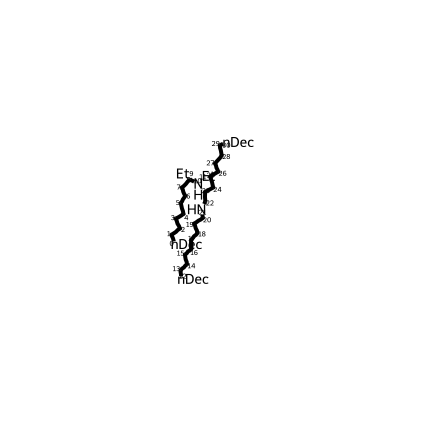 CCCCCCCCCCCCCCCCCC(CC)NCC.CCCCCCCCCCCCCCCCCCNCCCCCCCCCCCCCCCCCC